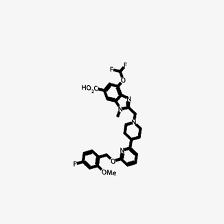 COc1cc(F)ccc1COc1cccc(C2CCN(Cc3nc4c(OC(F)F)cc(C(=O)O)cc4n3C)CC2)n1